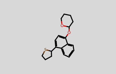 c1ccc2c(C3CCCS3)ccc(OC3CCCCO3)c2c1